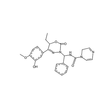 CCC1OC(=O)N(C(NC(=O)N2C=CN=CC2)c2ccccc2)N=C1c1ccc(OC)c(O)c1